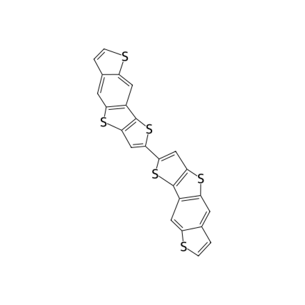 c1cc2cc3sc4cc(-c5cc6sc7cc8ccsc8cc7c6s5)sc4c3cc2s1